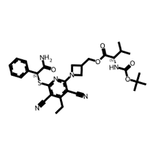 CCc1c(C#N)c(S[C@H](C(N)=O)c2ccccc2)nc(N2CC(COC(=O)[C@@H](NC(=O)OC(C)(C)C)C(C)C)C2)c1C#N